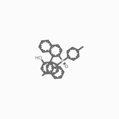 Cc1ccc(P(=O)(c2ccc(C)cc2)c2ccc3ccccc3c2-c2c(O)ccc3ccccc23)cc1